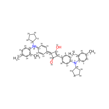 Cc1ccc(N(c2ccc(C3=C(O)C(=C4C=CC(=[N+](c5ccc(C)cc5C)C5CCCC5)C=C4)C3=O)cc2)C2CCCC2)c(C)c1